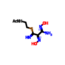 CC(=O)NCCSC(=N)C(=N\O)/C(N)=N/O